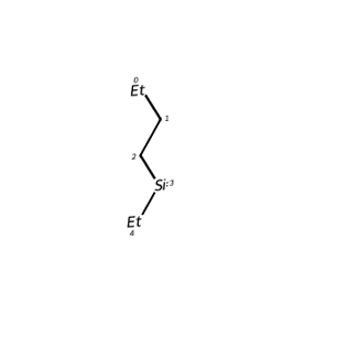 CCCC[Si]CC